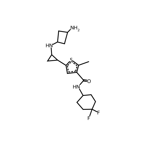 Cc1sc(C2CC2NC2CC(N)C2)cc1C(=O)NC1CCC(F)(F)CC1